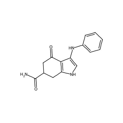 NC(=O)C1CC(=O)c2c(Nc3ccccc3)c[nH]c2C1